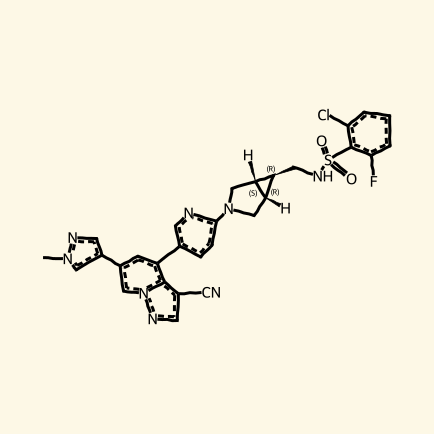 Cn1cc(-c2cc(-c3ccc(N4C[C@@H]5[C@@H](CNS(=O)(=O)c6c(F)cccc6Cl)[C@@H]5C4)nc3)c3c(C#N)cnn3c2)cn1